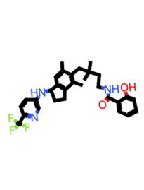 Cc1cc2c(c(C)c1CC(C)(C)CCNC(=O)c1ccccc1O)CCC2Nc1ccc(C(F)(F)F)nc1